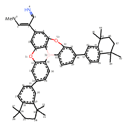 CN/C=C(\C=N)c1cc2c3c(c1)Oc1cc(-c4ccc5c(c4)C(C)(C)CCC5(C)C)ccc1B3c1ccc(-c3ccc4c(c3)C(C)(C)CCC4(C)C)cc1O2